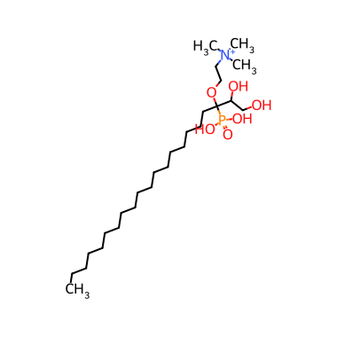 CCCCCCCCCCCCCCCCCCC(OCC[N+](C)(C)C)(C(O)CO)P(=O)(O)O